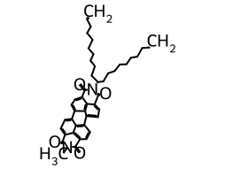 C=CCCCCCCCCC(CCCCCCCCC=C)N1C(=O)c2ccc3c4ccc5c6c(ccc(c7ccc(c2c37)C1=O)c64)C(=O)N(C)C5=O